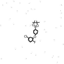 CC1(C)OB(c2ccc(Oc3cc(Cl)ccc3F)cc2)OC1(C)C